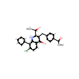 COC(=O)c1ccc(Cc2c(C(=O)OC)[nH]c3c(-c4ccccc4)c(Cl)ccc3c2=O)cc1